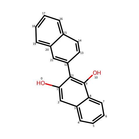 Oc1cc2ccccc2c(O)c1-c1ccc2ccccc2c1